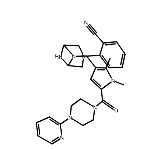 Cc1c(CN2C3CN(c4ccccc4C#N)CC2N3)cc(C(=O)N2CCN(c3ccccn3)CC2)n1C